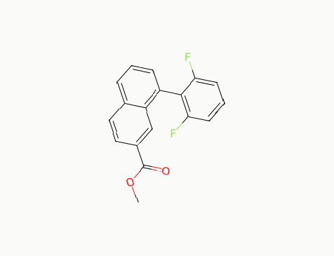 COC(=O)c1ccc2cccc(-c3c(F)cccc3F)c2c1